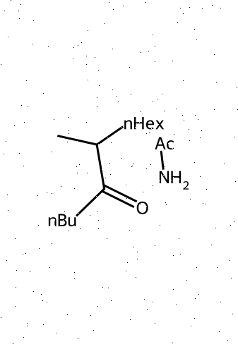 CC(N)=O.CCCCCCC(C)C(=O)CCCC